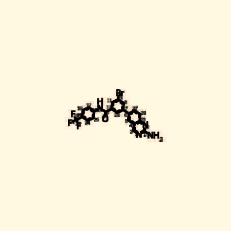 Nc1ncc2cc(-c3cc(Br)cc(C(=O)Nc4ccc(C(F)(F)F)cc4)c3)ccc2n1